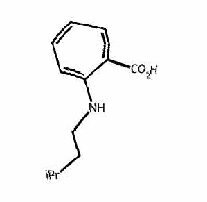 CC(C)CCNc1ccccc1C(=O)O